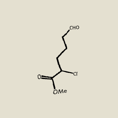 COC(=O)C(Cl)CCCC=O